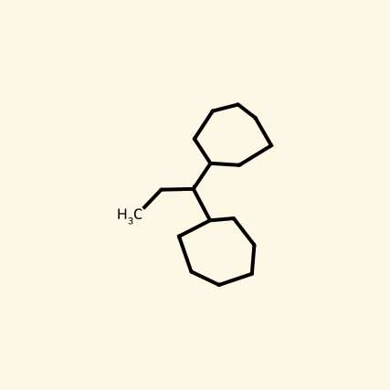 CC[C](C1CCCCCC1)C1CCCCCC1